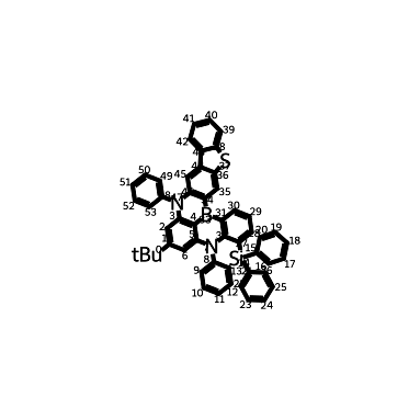 CC(C)(C)c1cc2c3c(c1)N1c4ccccc4[Si](c4ccccc4)(c4ccccc4)c4cccc(c41)B3c1cc3sc4ccccc4c3cc1N2c1ccccc1